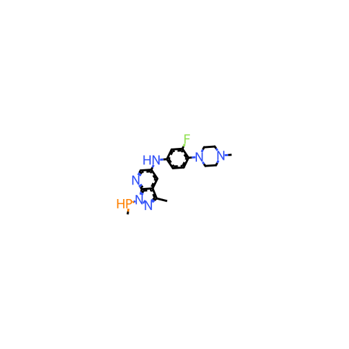 CPn1nc(C)c2cc(Nc3ccc(N4CCN(C)CC4)c(F)c3)cnc21